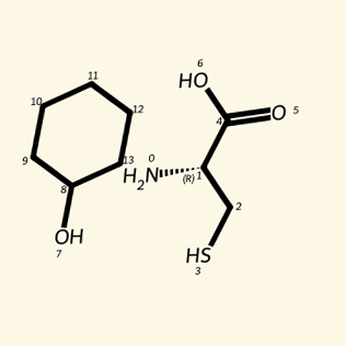 N[C@@H](CS)C(=O)O.OC1CCCCC1